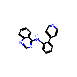 [c]1ccc(Nc2ncnc3ccccc23)c(-c2ccncc2)c1